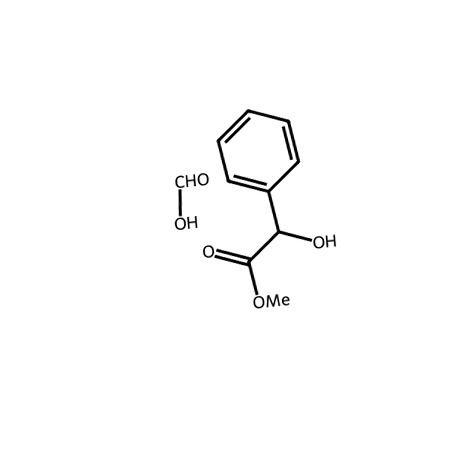 COC(=O)C(O)c1ccccc1.O=CO